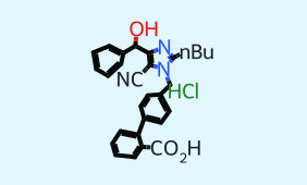 CCCCc1nc(C(O)c2ccccc2)c(C#N)n1Cc1ccc(-c2ccccc2C(=O)O)cc1.Cl